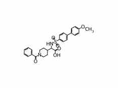 COc1ccc(-c2ccc(S(=O)(=O)NC(C(=O)O)C3CCN(C(=O)c4ccccc4)CC3)cc2)cc1